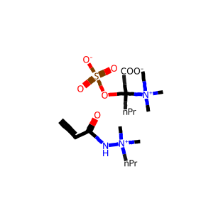 C=CC(=O)N[N+](C)(C)CCC.CCCC(OS(=O)(=O)[O-])(C(=O)[O-])[N+](C)(C)C